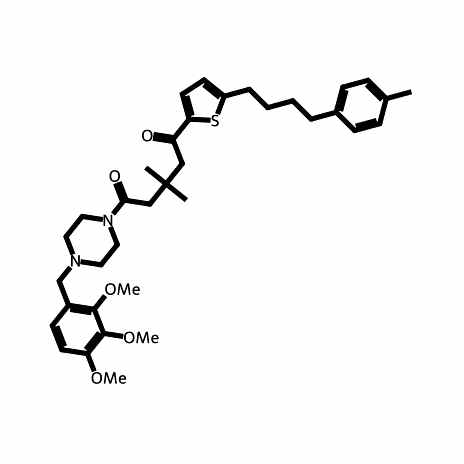 COc1ccc(CN2CCN(C(=O)CC(C)(C)CC(=O)c3ccc(CCCCc4ccc(C)cc4)s3)CC2)c(OC)c1OC